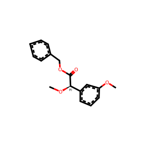 COc1cccc([C@@H](OC)C(=O)OCc2ccccc2)c1